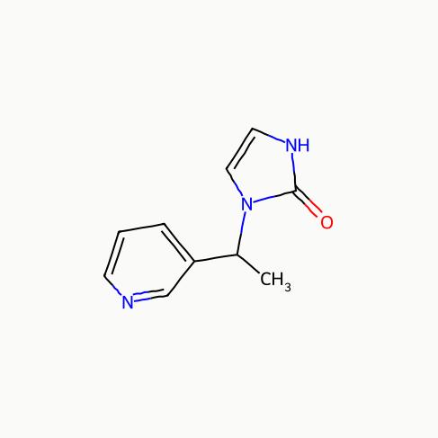 CC(c1cccnc1)n1cc[nH]c1=O